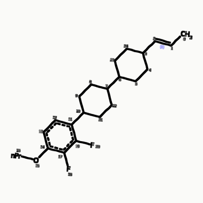 C/C=C/C1CCC(C2CCC(c3ccc(OCCC)c(F)c3F)CC2)CC1